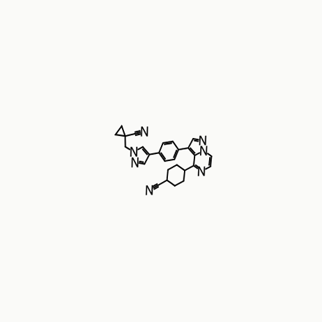 N#CC1CCC(c2nccn3ncc(-c4ccc(-c5cnn(CC6(C#N)CC6)c5)cc4)c23)CC1